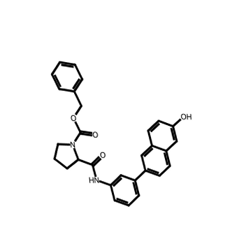 O=C(Nc1cccc(-c2ccc3cc(O)ccc3c2)c1)C1CCCN1C(=O)OCc1ccccc1